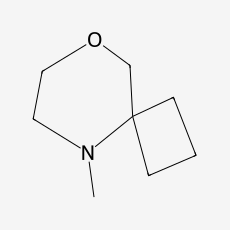 CN1CCOCC12CCC2